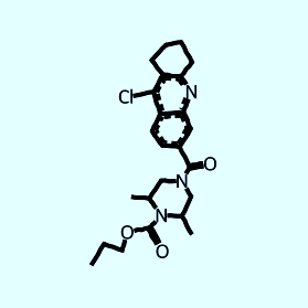 CCCOC(=O)N1C(C)CN(C(=O)c2ccc3c(Cl)c4c(nc3c2)CCCC4)CC1C